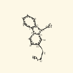 CCn1c2ccccc2c2ccc(CC(C)C)cc21